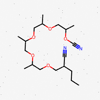 CCCC(C#N)COCC(C)OCC(C)OCC(C)OCC(C)OC#N